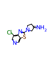 N[C@@H]1CCN(c2nc3c(Cl)cncc3s2)C1